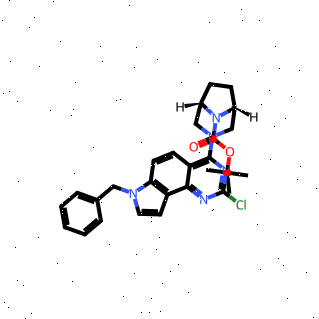 CC(C)(C)OC(=O)N1[C@@H]2CC[C@H]1CN(c1nc(Cl)nc3c1ccc1c3ccn1Cc1ccccc1)C2